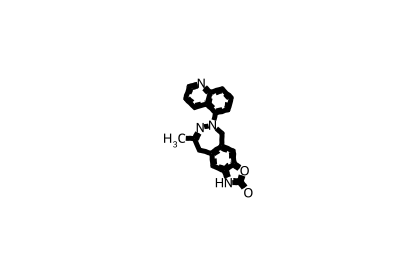 CC1=NN(c2cccc3ncccc23)Cc2cc3oc(=O)[nH]c3cc2C1